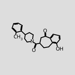 Cc1ccccc1C1CCN(C(=O)C2CCc3c(O)cccc3C(=O)C2)CC1